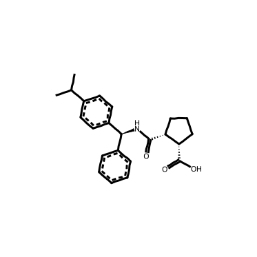 CC(C)c1ccc([C@@H](NC(=O)[C@@H]2CCC[C@@H]2C(=O)O)c2ccccc2)cc1